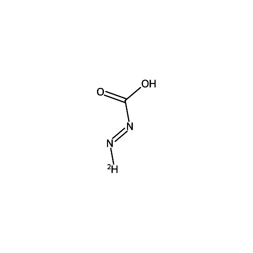 [2H]N=NC(=O)O